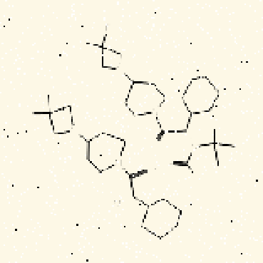 CC(C)(C)N(C(=O)O)[C@H](C(=O)N1CCC(N2CC(F)(F)C2)CC1)C1CCCCC1.Cl.N[C@H](C(=O)N1CCC(N2CC(F)(F)C2)CC1)C1CCCCC1